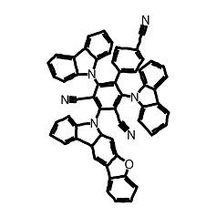 N#Cc1ccc(-c2c(-n3c4ccccc4c4ccccc43)c(C#N)c(N3c4ccccc4C4C=c5c(oc6ccccc56)=CC43)c(C#N)c2-n2c3ccccc3c3ccccc32)cc1